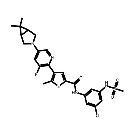 Cc1sc(C(=O)Nc2cc(Cl)cc(NS(C)(=O)=O)c2)cc1-c1ncc(N2CC3C(C2)C3(C)C)cc1F